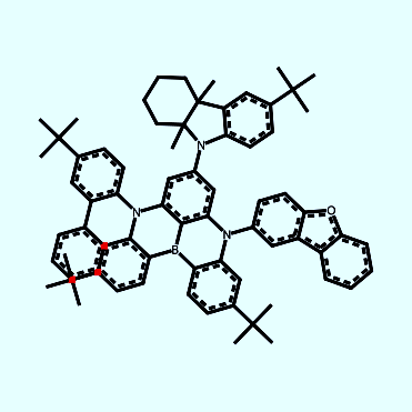 CC(C)(C)c1ccc(N2c3cc(C(C)(C)C)ccc3B3c4ccc(C(C)(C)C)cc4N(c4ccc5oc6ccccc6c5c4)c4cc(N5c6ccc(C(C)(C)C)cc6C6(C)CCCCC56C)cc2c43)c(-c2ccccc2)c1